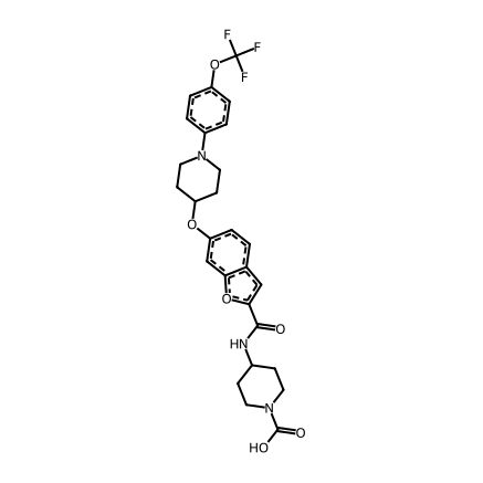 O=C(NC1CCN(C(=O)O)CC1)c1cc2ccc(OC3CCN(c4ccc(OC(F)(F)F)cc4)CC3)cc2o1